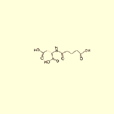 O=C(O)CCCC(=O)N[C@@H](CC(=O)O)C(=O)O